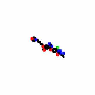 CCCNC(=O)Nc1ccc(Oc2ncnc3cc(OCCCCCN4CCOCC4)c(OC)cc23)cc1Cl